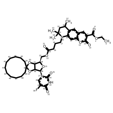 CCOC(=O)c1cc2cc3c(cc2oc1=O)N(CCCC(=O)OC[C@H]1O[C@@H](n2cc(F)c(=O)[nH]c2=O)C2OC4(CCCCCCCCCCC4)OC21)C(C)(C)CC3C